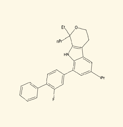 CCCC1(CC)OCCc2c1[nH]c1c(-c3ccc(-c4ccccc4)c(F)c3)cc(C(C)C)cc21